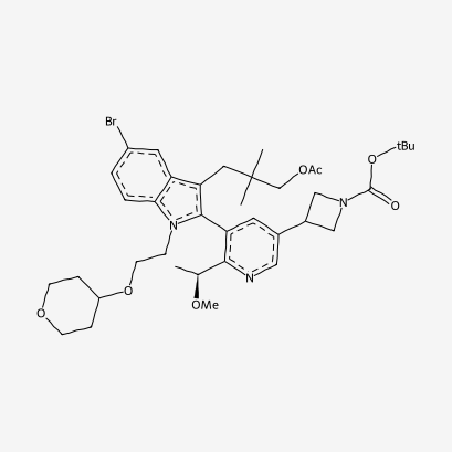 CO[C@@H](C)c1ncc(C2CN(C(=O)OC(C)(C)C)C2)cc1-c1c(CC(C)(C)COC(C)=O)c2cc(Br)ccc2n1CCOC1CCOCC1